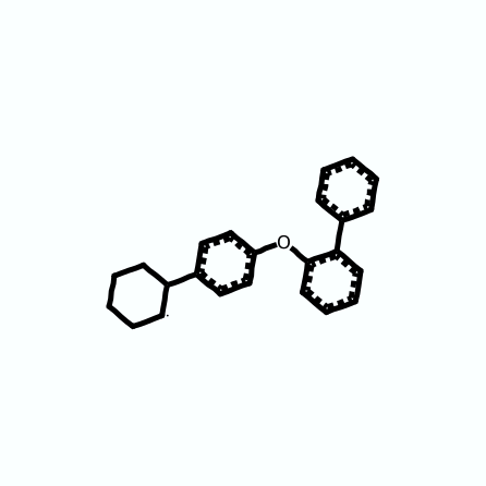 [CH]1CCCCC1c1ccc(Oc2ccccc2-c2ccccc2)cc1